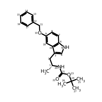 C[C@H](Cc1c[nH]c2ccc(OCc3ccccc3)cc12)NC(=O)OC(C)(C)C